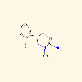 CN1CC(c2ccccc2Br)CN=C1N